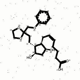 O=C(O)CCC/C=C\C[C@@H]1[C@@H](CCC2(COc3ccccc3)OCCO2)[C@H](O)C[C@@H]1O